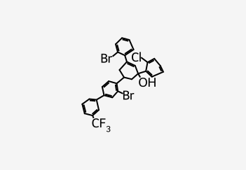 OC1(c2ccccc2Cl)C=C(c2ccccc2Br)CC(c2ccc(-c3cccc(C(F)(F)F)c3)cc2Br)C1